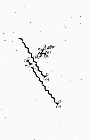 CC(O)C(=O)[O-].CCCCCCCCCCCCCCCCCC(=O)O.CCCCCCCCCCCCCCCCCC(=O)O.OCC(CO)(CO)CO.OP(O)O.[Na+]